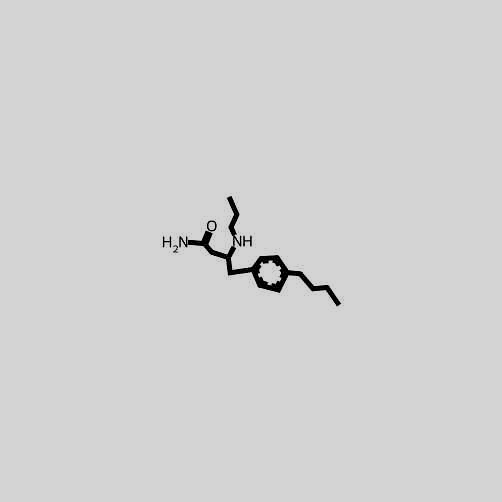 CCCCc1ccc(CC(CC(N)=O)NCCC)cc1